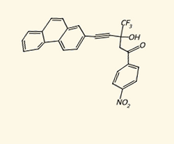 O=C(CC(O)(C#Cc1ccc2c(ccc3ccccc32)c1)C(F)(F)F)c1ccc([N+](=O)[O-])cc1